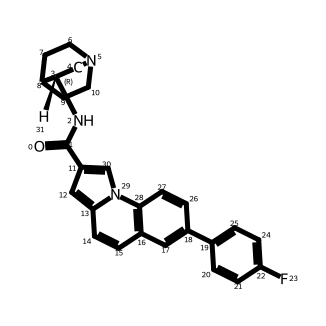 O=C(N[C@H]1CN2CCC1CC2)c1cc2ccc3cc(-c4ccc(F)cc4)ccc3n2c1